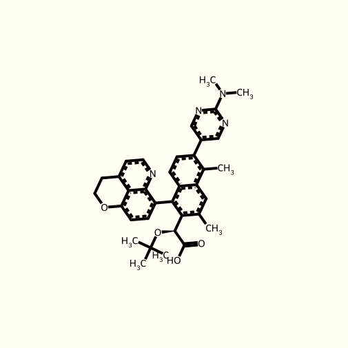 Cc1cc2c(C)c(-c3cnc(N(C)C)nc3)ccc2c(-c2ccc3c4c(ccnc24)CCO3)c1[C@H](OC(C)(C)C)C(=O)O